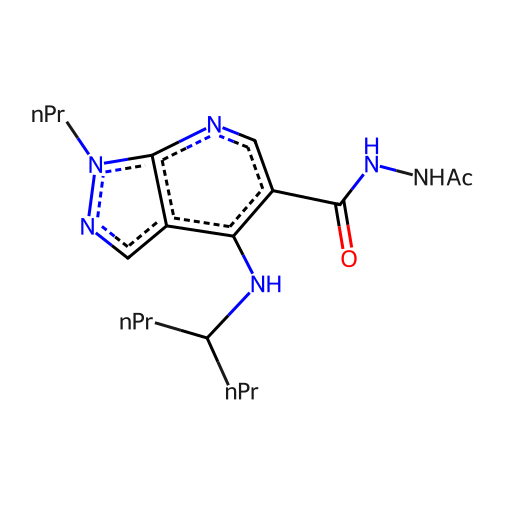 CCCC(CCC)Nc1c(C(=O)NNC(C)=O)cnc2c1cnn2CCC